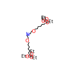 CCO[Si](CCCCCCOCCN(C)CCOCCCCCC[Si](OCC)(OCC)OCC)(OCC)OCC